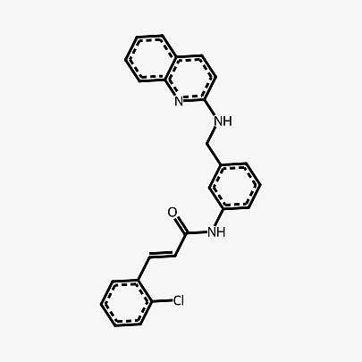 O=C(C=Cc1ccccc1Cl)Nc1cccc(CNc2ccc3ccccc3n2)c1